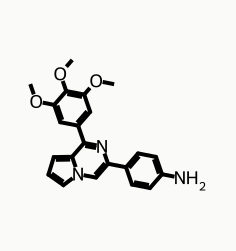 COc1cc(-c2nc(-c3ccc(N)cc3)cn3cccc23)cc(OC)c1OC